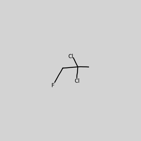 CC(Cl)(Cl)CF